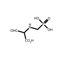 O=CC(NCP(=O)(O)O)C(=O)O